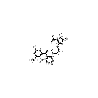 C=C(c1cc(N)cc(F)c1)c1c(N)ncnc1N(C)C/C(C)=N/c1sc(C)c(C)c1C(=C)C